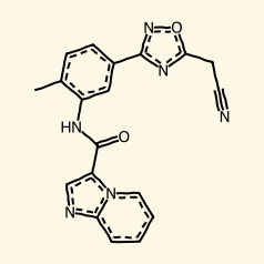 Cc1ccc(-c2noc(CC#N)n2)cc1NC(=O)c1cnc2ccccn12